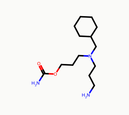 NCCCN(CCCOC(N)=O)CC1CCCCC1